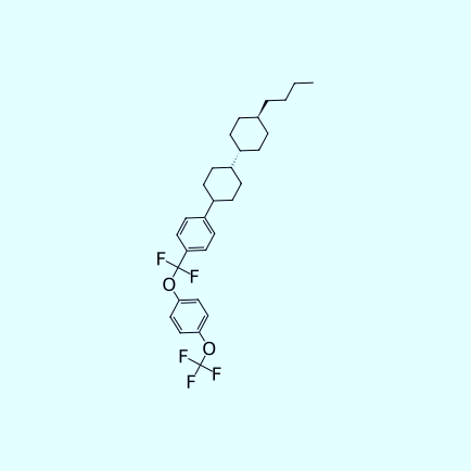 CCCC[C@H]1CC[C@H](C2CCC(c3ccc(C(F)(F)Oc4ccc(OC(F)(F)F)cc4)cc3)CC2)CC1